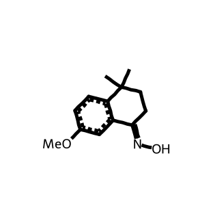 COc1ccc2c(c1)C(=NO)CCC2(C)C